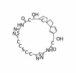 O=C1C[C@@H](O)C2=CC3(C=C2)CCC32CCC(C2)[C@H](O)CC(=O)Nc2nnc(s2)CCSCCc2nnc(s2)N1